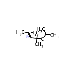 C/C=C/C(C)(C)OC(C)C